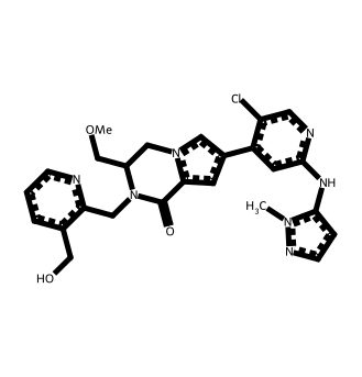 COCC1Cn2cc(-c3cc(Nc4ccnn4C)ncc3Cl)cc2C(=O)N1Cc1ncccc1CO